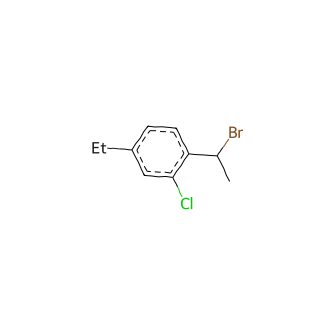 CCc1ccc(C(C)Br)c(Cl)c1